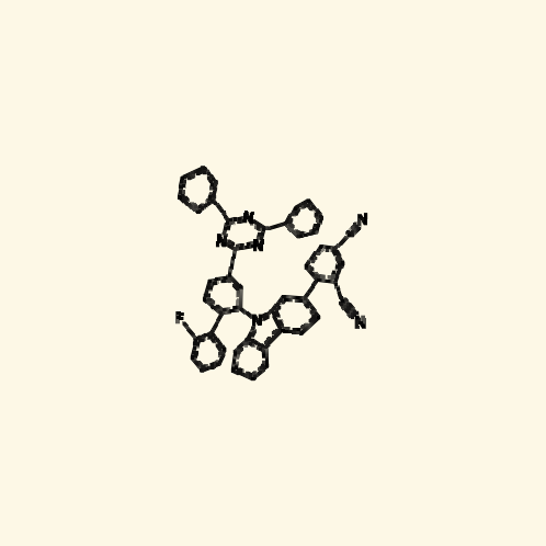 N#Cc1ccc(-c2ccc3c4ccccc4n(-c4cc(-c5nc(-c6ccccc6)nc(-c6ccccc6)n5)ccc4-c4ccccc4F)c3c2)c(C#N)c1